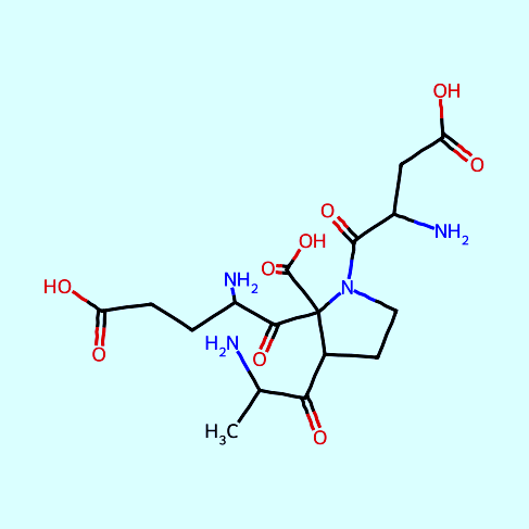 CC(N)C(=O)C1CCN(C(=O)C(N)CC(=O)O)C1(C(=O)O)C(=O)C(N)CCC(=O)O